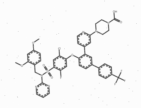 COc1ccc(CN(c2ncccn2)S(=O)(=O)c2cc(Cl)c(Oc3ccc(-c4ccc(C(F)(F)F)cc4)cc3-c3ccnc(N4CCN(C(=O)O)CC4)c3)cc2F)c(OC)c1